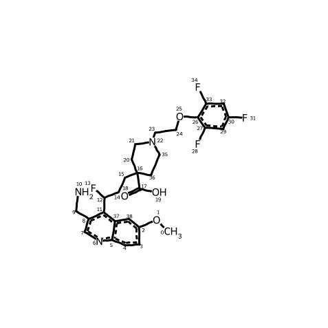 COc1ccc2ncc(CN)c(C(F)CCC3(C(=O)O)CCN(CCOc4c(F)cc(F)cc4F)CC3)c2c1